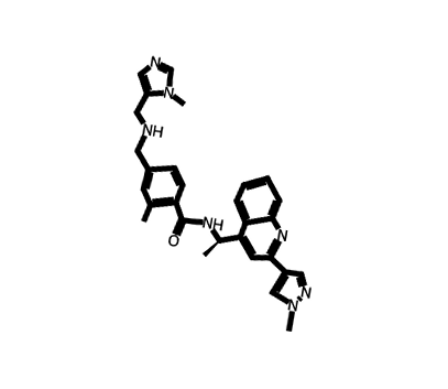 Cc1cc(CNCc2cncn2C)ccc1C(=O)N[C@H](C)c1cc(-c2cnn(C)c2)nc2ccccc12